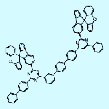 c1ccc(-c2ccc(-c3nc(-c4cccc(-c5ccc(-c6ccc(-c7cc(-c8ccccc8)nc(-c8ccc9c(c8)C8(c%10ccccc%10Oc%10ccccc%108)c8ccccc8-9)n7)cc6)cc5)c4)nc(-c4ccc5c(c4)C4(c6ccccc6Oc6ccccc64)c4ccccc4-5)n3)cc2)cc1